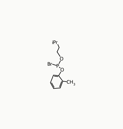 Cc1ccccc1OP(Br)OCCC(C)C